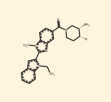 CCn1c(-c2nc3cc(C(=O)N4CC[C@@H](F)[C@@H](N)C4)ccc3n2C)cc2ccccc21